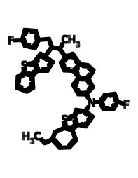 CCC1=CC=Cc2c(sc3cc(N(c4ccc(F)cc4)c4ccc5c(ccc6cc(C(C)C(Cc7ccc(F)cc7)c7ccc8c(c7)sc7ccccc78)ccc65)c4)ccc23)C1